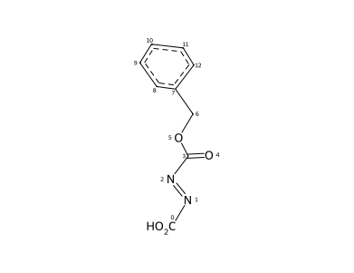 O=C(O)N=NC(=O)OCc1ccccc1